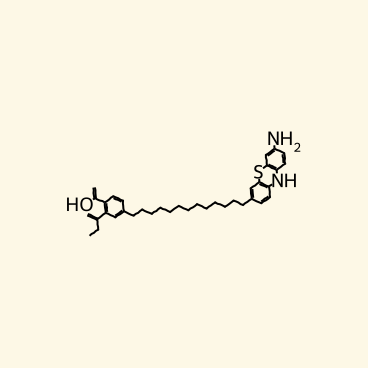 C=C(O)c1ccc(CCCCCCCCCCCCCc2ccc3c(c2)Sc2cc(N)ccc2N3)cc1C(=C)CC